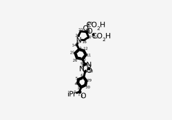 CC(C)C(=O)c1ccc(-c2nc(-c3ccc(CN4CCC(OC(=O)O)(OC(=O)O)CC4)cc3)no2)cc1